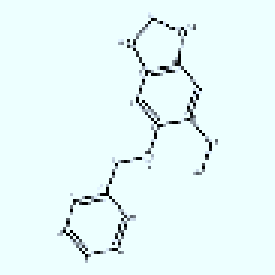 CCc1cc2c(cc1OCc1ccccc1)OCO2